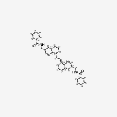 O=C(NCc1cnc2c(SSc3cccc4cc(CNC(=O)c5ccccc5)cnc34)cccc2c1)c1ccccc1